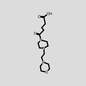 O=C(O)CCCC(=O)N1CCN(CCN2CCOCC2)CC1